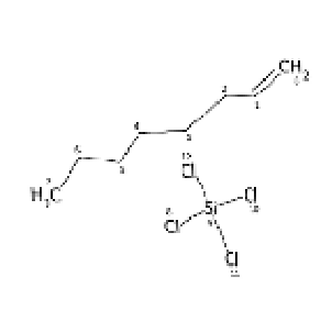 C=CCCCCCC.Cl[Si](Cl)(Cl)Cl